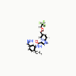 Cc1ccc(C=N)cc1NC(=O)c1cnc2ccc(COCC(F)(F)F)cn12